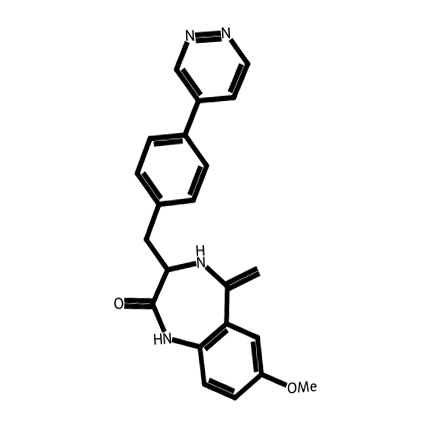 C=C1NC(Cc2ccc(-c3ccnnc3)cc2)C(=O)Nc2ccc(OC)cc21